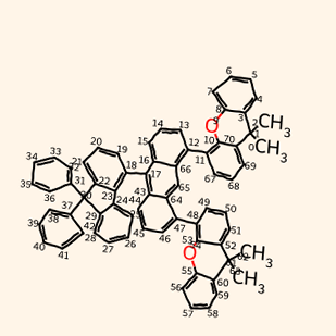 CC1(C)c2ccccc2Oc2c(-c3cccc4c(-c5cccc6c5-c5ccccc5C6(c5ccccc5)c5ccccc5)c5cccc(-c6cccc7c6Oc6ccccc6C7(C)C)c5cc34)cccc21